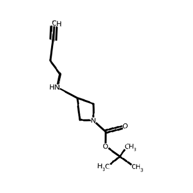 C#CCCNC1CN(C(=O)OC(C)(C)C)C1